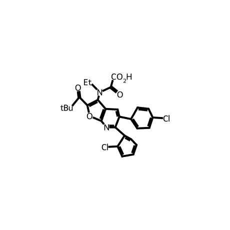 CCN(C(=O)C(=O)O)c1c(C(=O)C(C)(C)C)oc2nc(-c3ccccc3Cl)c(-c3ccc(Cl)cc3)cc12